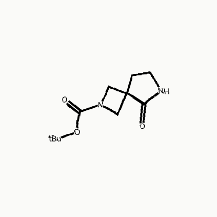 CC(C)(C)OC(=O)N1CC2(CCNC2=O)C1